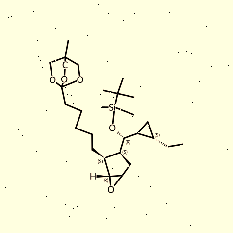 CC[C@H]1CC1[C@@H](O[Si](C)(C)C(C)(C)C)[C@H]1CC2O[C@@H]2[C@H]1CCCCCC12OCC(C)(CO1)CO2